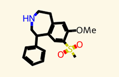 COc1cc2c(cc1S(C)(=O)=O)C(c1ccccc1)CNCC2